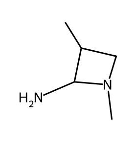 CC1CN(C)C1N